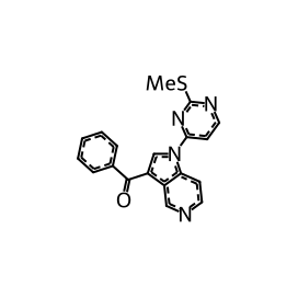 CSc1nccc(-n2cc(C(=O)c3ccccc3)c3cnccc32)n1